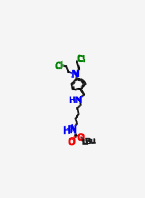 CC(C)(C)OC(=O)NCCCCCNCc1ccc(N(CCCl)CCCl)cc1